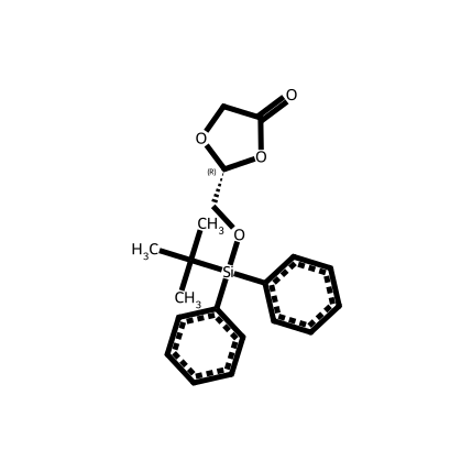 CC(C)(C)[Si](OC[C@@H]1OCC(=O)O1)(c1ccccc1)c1ccccc1